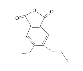 CCc1cc2c(cc1CCI)C(=O)OC2=O